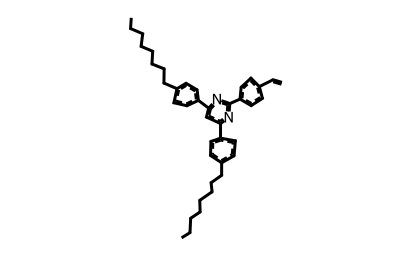 C=Cc1ccc(-c2nc(-c3ccc(CCCCCCCC)cc3)cc(-c3ccc(CCCCCCCC)cc3)n2)cc1